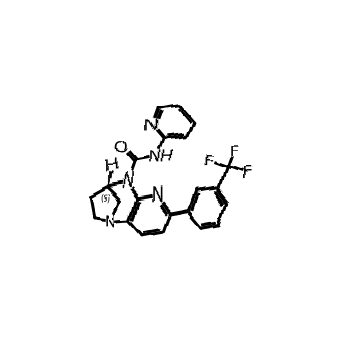 O=C(Nc1ccccn1)N1c2nc(-c3cccc(C(F)(F)F)c3)ccc2N2CC[C@H]1C2